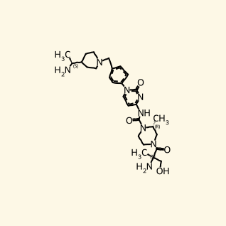 C[C@H](N)C1CCN(Cc2ccc(-n3ccc(NC(=O)N4CCN(C(=O)[C@@](C)(N)CO)C[C@H]4C)nc3=O)cc2)CC1